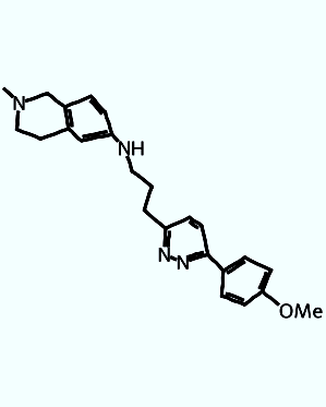 COc1ccc(-c2ccc(CCCNc3ccc4c(c3)CCN(C)C4)nn2)cc1